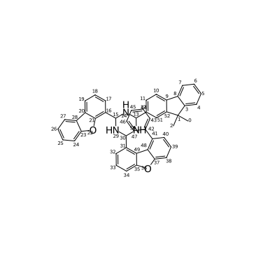 CC1(C)c2ccccc2-c2ccc(C3NC(c4cccc5c4oc4ccccc45)NC(c4cccc5oc6cccc(-c7ccccc7)c6c45)N3)cc21